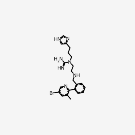 Cc1cc(Br)cnc1-c1ccccc1CNCCN(CCCc1c[nH]cn1)C(=N)N